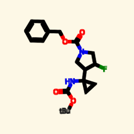 CC(C)(C)OC(=O)NC1(C2CN(C(=O)OCc3ccccc3)CC2F)CC1